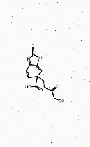 O=C(CO)CCC1(C(=O)O)C=CC2=NC(=O)NC2=C1